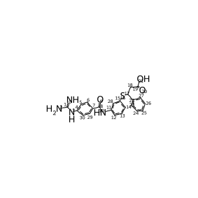 N=C(N)Nc1ccc(C(=O)Nc2cccc(SC(CC(=O)O)c3ccccc3)c2)cc1